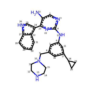 Nc1cnc(Nc2cc(CN3CCNCC3)cc(C3CC3)c2)nc1-c1c[nH]c2ccccc12